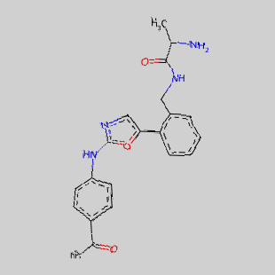 CCCC(=O)c1ccc(Nc2ncc(-c3ccccc3CNC(=O)C(C)N)o2)cc1